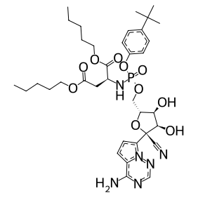 CCCCCOC(=O)C[C@H](NP(=O)(OC[C@H]1O[C@@](C#N)(c2ccc3c(N)ncnn23)[C@H](O)[C@@H]1O)Oc1ccc(C(C)(C)C)cc1)C(=O)OCCCCC